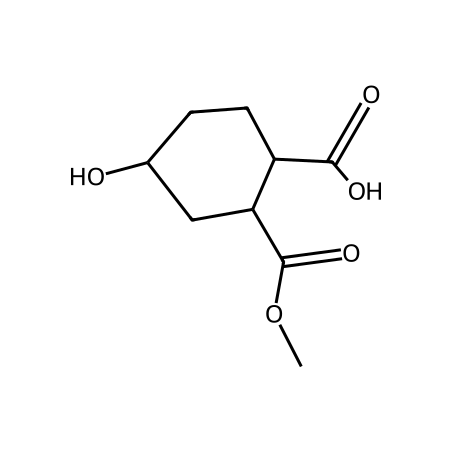 COC(=O)C1CC(O)CCC1C(=O)O